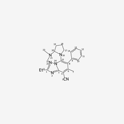 CCc1nc2c(C#N)c(C)c(-c3ccccc3)c(N3CCCC3N(C)C)n2n1